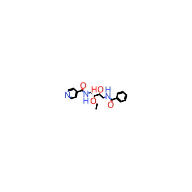 CCO[C@H](CNC(=O)c1ccncc1)[C@@H](O)CNC(=O)c1ccccc1